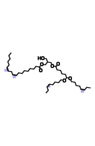 CC/C=C\CCCCOC(CCCCC(=O)OCC(CO)COC(=O)CCCCCCC/C=C\C/C=C\CCCCC)OCCCC/C=C\CC